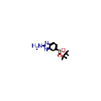 CC1(C)OB(C2=CC=C3N=C(N)N=C3C2)OC1(C)C